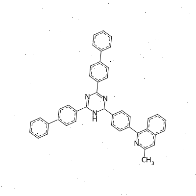 Cc1cc2ccccc2c(-c2ccc(C3N=C(c4ccc(-c5ccccc5)cc4)N=C(c4ccc(-c5ccccc5)cc4)N3)cc2)n1